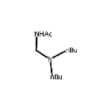 CCCCN([CH]NC(C)=O)CCCC